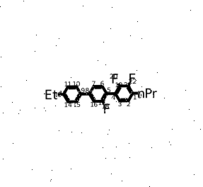 CCCc1ccc(-c2ccc(-c3ccc(CC)cc3)cc2F)c(F)c1F